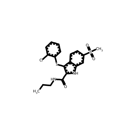 CCCNC(=O)c1[nH]c2cc(S(C)(=O)=O)ccc2c1Sc1ccccc1Cl